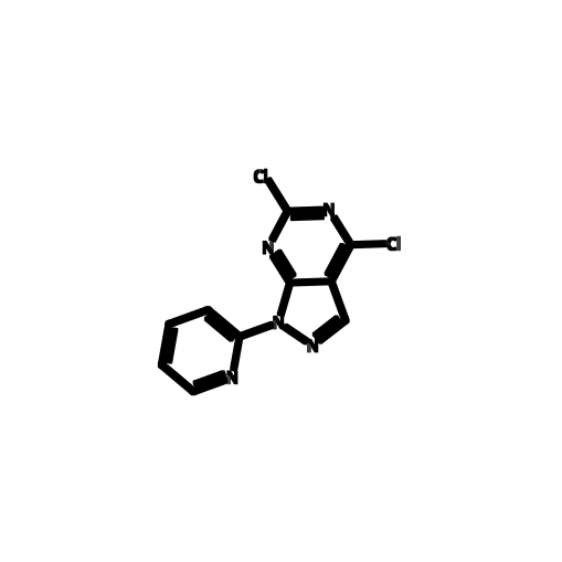 Clc1nc(Cl)c2cnn(-c3ccccn3)c2n1